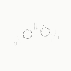 CNS(=O)(=O)c1ccc(Nc2ccc(C(F)(F)F)cn2)cc1